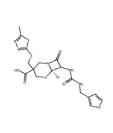 Cc1nnc(SCC2(C(=O)O)CS[C@@H]3C(NC(=O)NCc4ccoc4)C(=O)N3C2)s1